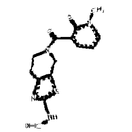 Cn1cccc(C(=O)N2CCc3nc(NC=O)sc3C2)c1=O